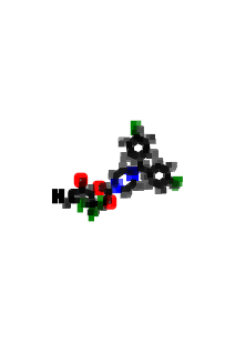 CC(=O)C(OC(=O)N1CCN(C(c2ccc(F)cc2)c2ccc(F)cc2)CC1)C(F)(F)F